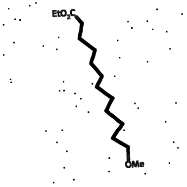 CCOC(=O)CCCCCCCCCCCOC